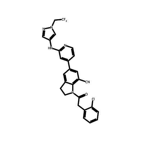 N#Cc1cc(-c2ccnc(Nc3cnn(CC(F)(F)F)c3)c2)cc2c1N(C(=O)Cc1ccccc1Cl)CC2